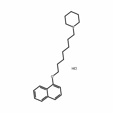 Cl.c1ccc2c(OCCCCCCCN3CCCCC3)cccc2c1